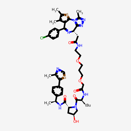 Cc1ncsc1-c1ccc([C@H](C)NC(=O)[C@H]2C[C@H](O)CN2C(=O)[C@@H](NC(=O)COCCCOCCNC(=O)C[C@@H]2N=C(c3ccc(Cl)cc3)c3c(sc(C)c3C)-n3c(C)nnc32)C(C)(C)C)cc1